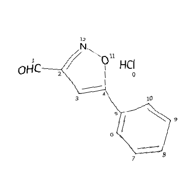 Cl.O=Cc1cc(-c2ccccc2)on1